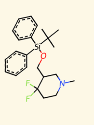 CN1CCC(F)(F)C(CO[Si](c2ccccc2)(c2ccccc2)C(C)(C)C)C1